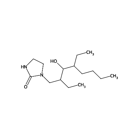 CCCCC(CC)C(O)C(CC)CN1CCNC1=O